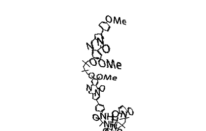 COc1ccc(C2=CN3C(=O)c4cc(OC)c(OCC(C)(C)CC(C)(C)COc5cc6c(cc5OC)C(=O)N5C=C(c7ccc(NC(=O)C(C)NC(=O)C(NC(=O)C(C)(C)CC(C)(C)N8C(=O)C=CC8=O)C(C)C)cc7)CC5C=N6)cc4N=CC3C2)cc1